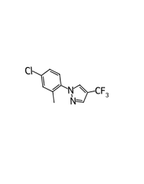 Cc1cc(Cl)ccc1-n1cc(C(F)(F)F)cn1